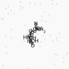 C[C@@H]1C[C@H]2[C@@H]3CCC4=CC(=O)C=C[C@]4(C)[C@@]3(F)[C@@H](O)C[C@]2(C)[C@@]1(O)C(=N)COC(=O)C1CC1C(=O)OCc1cccc([C@@H](CN)C(=O)Nc2ccc3cnccc3c2)c1